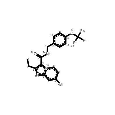 CCc1nc2cc(Br)ccn2c1C(=O)NCc1ccc(OC(F)(F)F)cc1